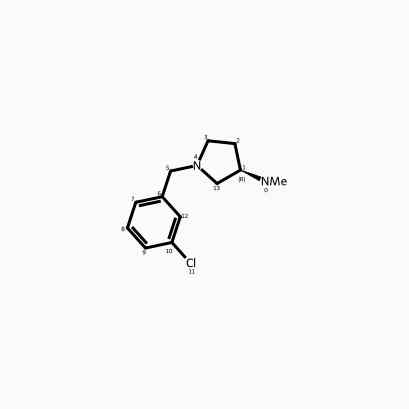 CN[C@@H]1CCN(Cc2cccc(Cl)c2)C1